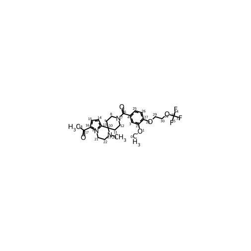 COc1cc(C(=O)N2CCC3(CC2)c2ccc(C(C)=O)n2CCN3C)ccc1OCCOC(F)(F)F